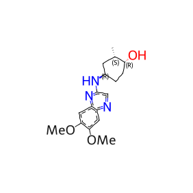 COc1cc2ncc(N[C@@H]3CC[C@@H](O)[C@@H](C)C3)nc2cc1OC